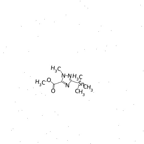 COC(=O)c1n[c]([Sn]([CH3])([CH3])[CH3])nn1C